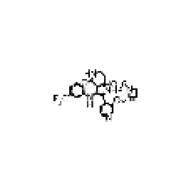 O=C1NCCc2[nH]c(-c3ccncc3OC[C@H]3CCN3C(=O)O)c(Nc3cccc(C(F)(F)F)c3)c21